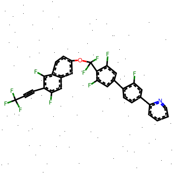 Fc1cc(-c2ccccn2)ccc1-c1cc(F)c(C(F)(F)Oc2ccc3c(F)c(C#CC(F)(F)F)c(F)cc3c2)c(F)c1